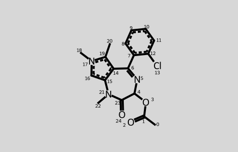 CC(=O)OC1N=C(c2ccccc2Cl)c2c(cn(C)c2C)N(C)C1=O